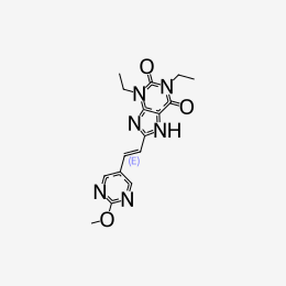 CCn1c(=O)c2[nH]c(/C=C/c3cnc(OC)nc3)nc2n(CC)c1=O